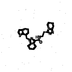 O=C(NCCc1nnc2ccccn12)c1nn(Cc2cccc3ccsc23)c2ccccc12